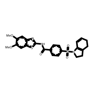 COc1cc2nc(NC(=O)c3ccc(S(=O)(=O)N4CCC5=C4C=CCC5)cc3)sc2cc1OC